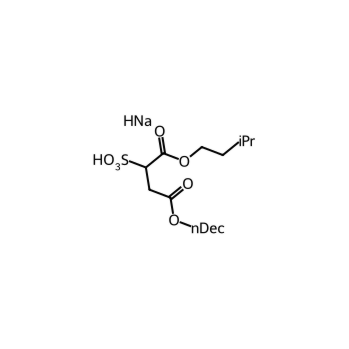 CCCCCCCCCCOC(=O)CC(C(=O)OCCC(C)C)S(=O)(=O)O.[NaH]